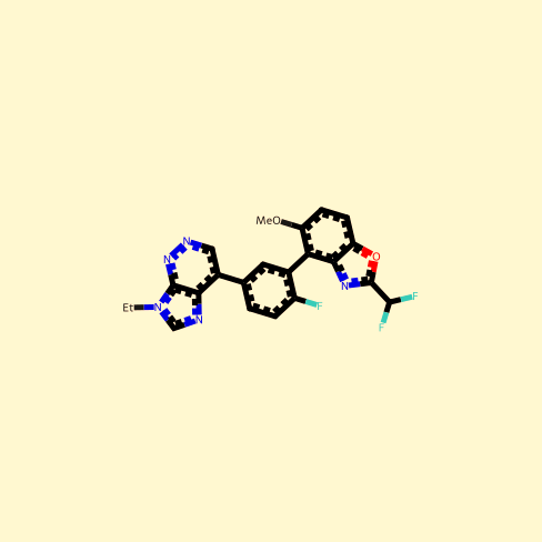 CCn1cnc2c(-c3ccc(F)c(-c4c(OC)ccc5oc(C(F)F)nc45)c3)cnnc21